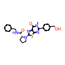 Cn1c(-c2ccc(CO)cc2)nc2sc(N3CCC[C@@H]3C(=O)NCc3ccccc3)nc2c1=O